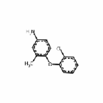 Cc1cc(N)ccc1Oc1ccccc1Cl